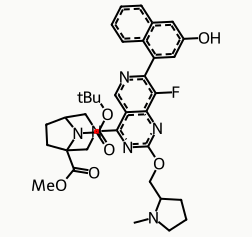 COC(=O)C12CCC(CN(c3nc(OCC4CCCN4C)nc4c(F)c(-c5cc(O)cc6ccccc56)ncc34)C1)N2C(=O)OC(C)(C)C